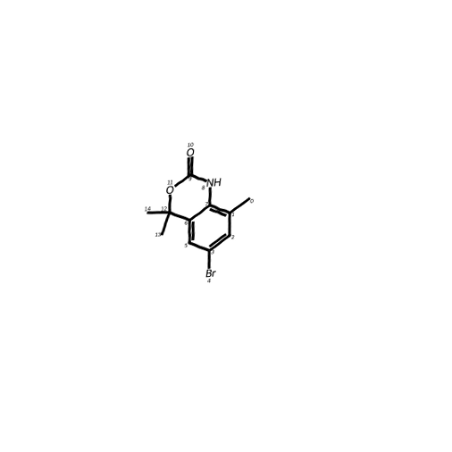 Cc1cc(Br)cc2c1NC(=O)OC2(C)C